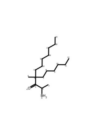 BC(C)C(=O)C(C)(CCCCCC)CCCCCCC